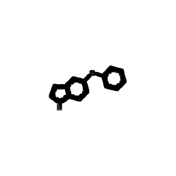 [c]1ccccc1Oc1ccc2[nH]ccc2c1